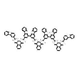 c1ccc2c(c1)oc1ccc(-c3ncc4c5ccccc5c5cnc(-c6cc(-c7cc(-c8ncc9c%10ccccc%10c%10cnc(-c%11cc(-c%12cc(-c%13ncc%14c%15ccccc%15c%15cnc(-c%16ccc%17sc%18ccccc%18c%17c%16)nc%15c%14n%13)cc%13c%12sc%12ccccc%12%13)c%12sc%13ccccc%13c%12c%11)nc%10c9n8)cc8c7sc7ccccc78)c7oc8ccccc8c7c6)nc5c4n3)cc12